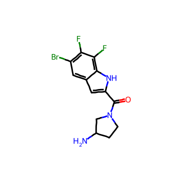 NC1CCN(C(=O)c2cc3cc(Br)c(F)c(F)c3[nH]2)C1